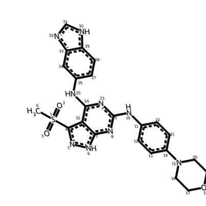 CS(=O)(=O)c1n[nH]c2nc(Nc3ccc(N4CCOCC4)cc3)nc(Nc3ccc4[nH]cnc4c3)c12